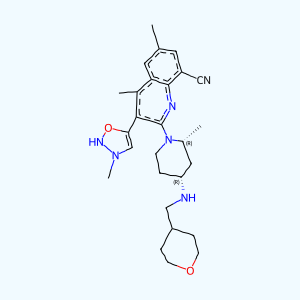 Cc1cc(C#N)c2nc(N3CC[C@@H](NCC4CCOCC4)C[C@H]3C)c(C3=CN(C)NO3)c(C)c2c1